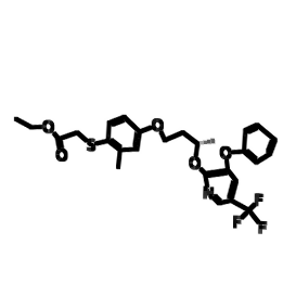 CCOC(=O)CSc1ccc(OCC[C@H](C)Oc2ncc(C(F)(F)F)cc2Oc2ccccc2)cc1C